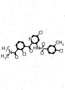 Cc1cc(S(=O)(=O)Nc2cc(Cl)cnc2C(=O)c2cccc(C(=O)N(C)C)c2Cl)ccc1Cl